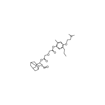 CCCc1cc(OC(=O)COCC(=O)OC(C)C23CC4CC(CC(C4)C2SN=O)C3)c(C)cc1OCCN(C)C